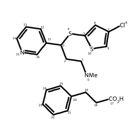 CNCCC(Sc1cc(Cl)cs1)c1cccnc1.O=C(O)CCc1ccccc1